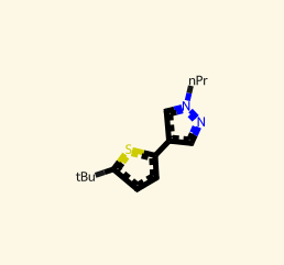 CCCn1cc(-c2ccc(C(C)(C)C)s2)cn1